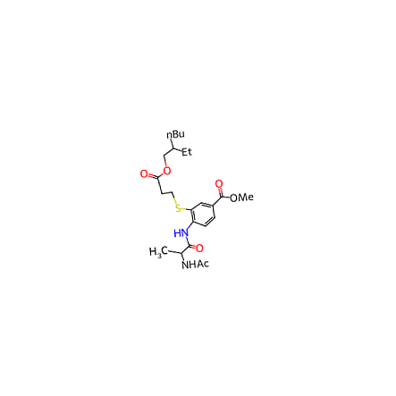 CCCCC(CC)COC(=O)CCSc1cc(C(=O)OC)ccc1NC(=O)C(C)NC(C)=O